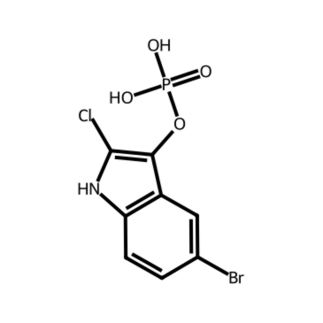 O=P(O)(O)Oc1c(Cl)[nH]c2ccc(Br)cc12